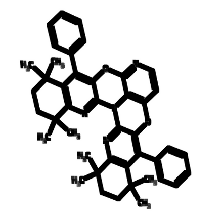 CC1(C)CCC(C)(C)c2c1nc1c(c2-c2ccccc2)Oc2ccnc3c2B1c1nc2c(c(-c4ccccc4)c1O3)C(C)(C)CCC2(C)C